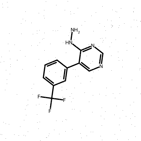 NNc1ncncc1-c1cccc(C(F)(F)F)c1